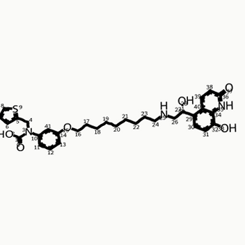 O=C(O)N(Cc1cccs1)c1cccc(OCCCCCCCCCNC[C@H](O)c2ccc(O)c3[nH]c(=O)ccc23)c1